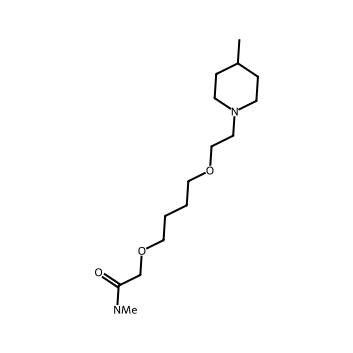 CNC(=O)COCCCCOCCN1CCC(C)CC1